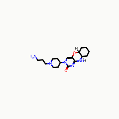 NCCCN1CCC(n2cc3c(nc2=O)N[C@@H]2CCCC[C@H]2O3)CC1